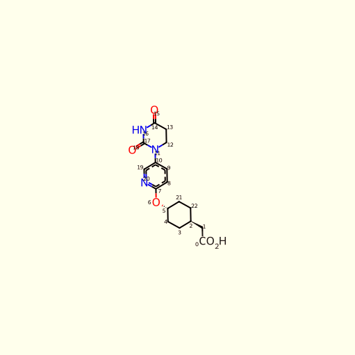 O=C(O)C[C@H]1CC[C@H](Oc2ccc(N3CCC(=O)NC3=O)cn2)CC1